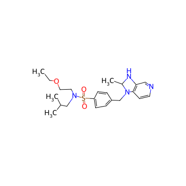 CCOCCN(CC(C)C)S(=O)(=O)c1ccc(CN2c3ccncc3NC2C)cc1